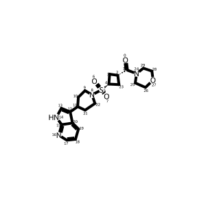 O=C([C@H]1C[C@@H](S(=O)(=O)N2CCC(c3c[nH]c4ncccc34)CC2)C1)N1CCOCC1